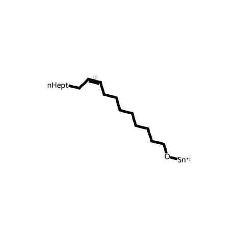 CCCCCCCC/C=C\CCCCCCCC[O][Sn+]